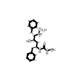 CC(C)(C)NC(=O)N[C@@H](Cc1ccccc1)C[C@@H](O)[C@H](Cc1ccccc1)NC(=O)O